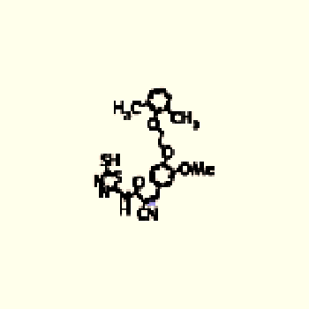 COc1cc(/C=C(/C#N)C(=O)Nc2nnc(S)s2)ccc1OCCOc1c(C)cccc1C